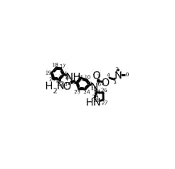 CN(C)CCOC(=O)N(c1ccc(C(=O)Nc2ccccc2N)cc1)[C@H]1CCNC1